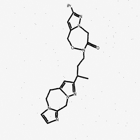 CC(C)c1cc2n(n1)CC(=O)N(CCC(C)c1cc3n(n1)Cc1nccn1CC3)OC2